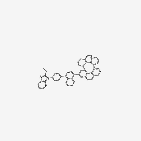 CCc1nc2ccccc2n1-c1ccc(-c2ccc(-c3cc4ccc5cccc6c7cccc8ccc9cccc(c(c3)c4c56)c9c87)c3ccccc23)cc1